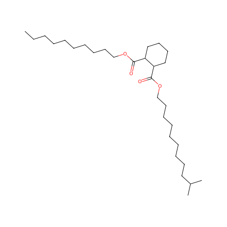 CCCCCCCCCCOC(=O)C1CCCCC1C(=O)OCCCCCCCCCC(C)C